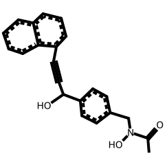 CC(=O)N(O)Cc1ccc(C(O)C#Cc2cccc3ccccc23)cc1